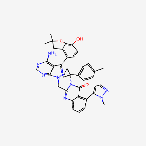 Cc1ccc(C2(n3c(Cn4nc(-c5ccc(O)c6c5CC(C)(C)O6)c5c(N)ncnc54)nc4cccc(-c5ccnn5C)c4c3=O)CC2)cc1